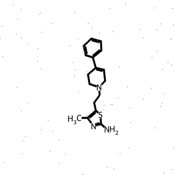 Cc1nc(N)sc1CCN1CC=C(c2ccccc2)CC1